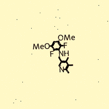 COc1cc(OC)c(F)c(NCc2cnc(C)c(C)c2C)c1F